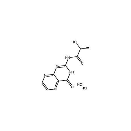 C[C@H](O)C(=O)Nc1nc2nccnc2c(=O)[nH]1.Cl.Cl